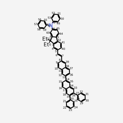 CCC1(CC)c2cc(/C=C/c3ccc4cc(-c5ccc6cc(-c7ccccc7)c(-c7ccccc7)cc6c5)ccc4c3)ccc2-c2ccc(N(c3ccccc3)c3ccccc3)cc21